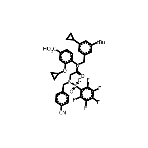 CC(C)(C)c1cc(CN(C(=O)CN(Cc2ccc(C#N)cc2)S(=O)(=O)c2c(F)c(F)c(F)c(F)c2F)c2ccc(C(=O)O)cc2OC2CC2)cc(C2CC2)c1